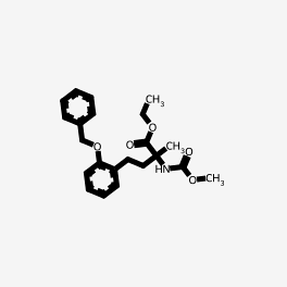 CCOC(=O)C(C)(CCc1ccccc1OCc1ccccc1)NC(=O)OC